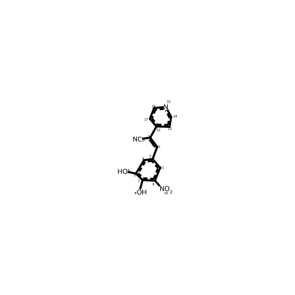 N#C/C(=C\c1cc(O)c(O)c([N+](=O)[O-])c1)c1ccncc1